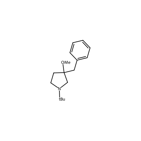 COC1(Cc2ccccc2)CCN(C(C)(C)C)C1